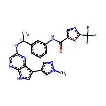 C[C@H](Nc1cnc2[nH]cc(-c3cnn(C)c3)c2n1)c1cccc(NC(=O)c2cnc(C(F)(F)F)s2)c1